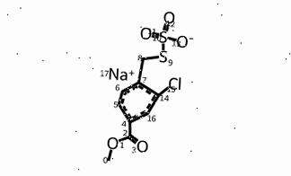 COC(=O)c1ccc(CSS(=O)(=O)[O-])c(Cl)c1.[Na+]